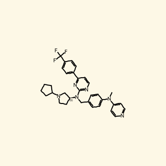 CN(c1ccncc1)c1ccc(CN(c2nccc(-c3ccc(C(F)(F)F)cc3)n2)[C@H]2CCN(C3CCCC3)C2)cc1